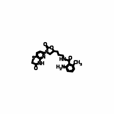 Cc1cccc(N)c1C(=O)NCCCC1CN(c2ccc3c(n2)NC(=O)CS3)C(=O)O1